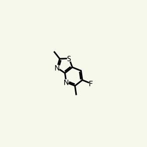 Cc1nc2nc(C)c(F)cc2s1